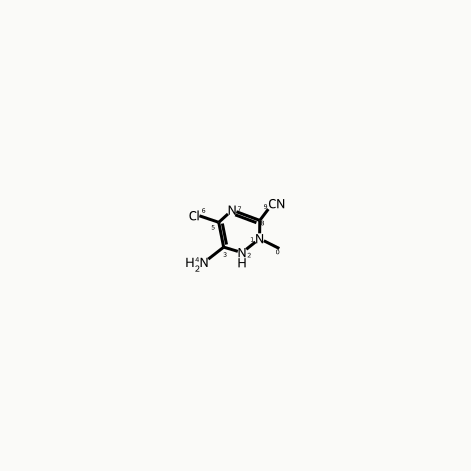 CN1NC(N)=C(Cl)N=C1C#N